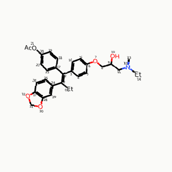 CCC(=C(c1ccc(OCC(O)CN(C)CC)cc1)c1ccc(OC(C)=O)cc1)c1ccc2c(c1)OCO2